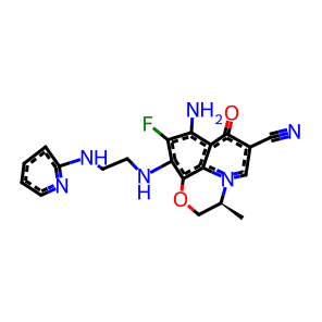 C[C@H]1COc2c(NCCNc3ccccn3)c(F)c(N)c3c(=O)c(C#N)cn1c23